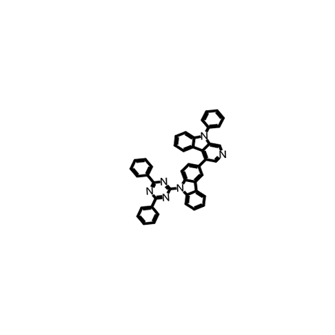 c1ccc(-c2nc(-c3ccccc3)nc(-n3c4ccccc4c4cc(-c5cncc6c5c5ccccc5n6-c5ccccc5)ccc43)n2)cc1